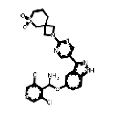 N[C@@H](Oc1ccc2[nH]nc(-c3cnc(N4CC5(CCCS(=O)(=O)C5)C4)nc3)c2c1)c1c(Cl)cncc1Cl